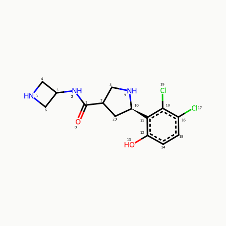 O=C(NC1CNC1)C1CN[C@@H](c2c(O)ccc(Cl)c2Cl)C1